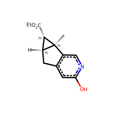 CCOC(=O)[C@H]1[C@@H]2Cc3cc(O)ncc3[C@@]21C